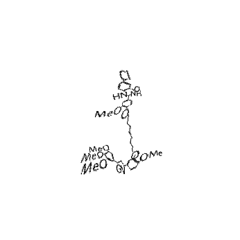 COc1cc(C2NC(=O)c3cc(Cl)ccc3N2)ccc1OCCCCCCCCOc1cc(C2=NOC(c3cc(OC)c(OC)c(OC)c3)C2)ccc1OC